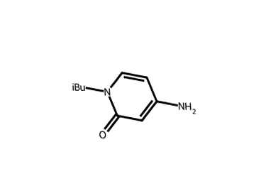 CCC(C)n1ccc(N)cc1=O